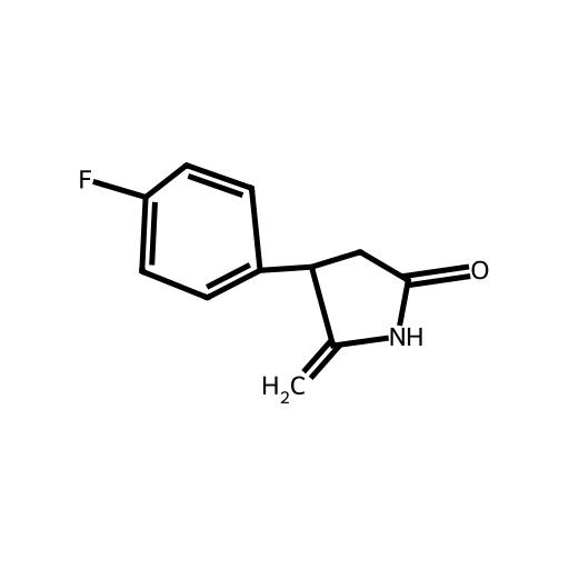 C=C1NC(=O)CC1c1ccc(F)cc1